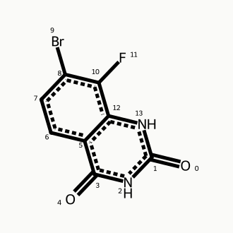 O=c1[nH]c(=O)c2ccc(Br)c(F)c2[nH]1